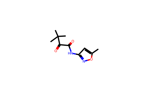 Cc1cc(NC(=O)C(=O)C(C)(C)C)no1